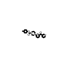 Cc1ccc(OC(=O)N2CCCN(c3cccc(C(=O)c4cccnc4)n3)CC2)cc1